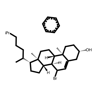 CC(C)CCCC(C)[C@H]1CC[C@H]2[C@@H]3C(Br)C=C4C[C@@H](O)CC[C@]4(C)[C@H]3CC[C@]12C.c1ccccc1